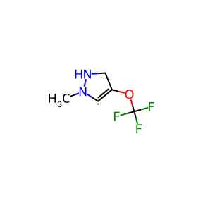 CN1[C]=C(OC(F)(F)F)CN1